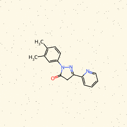 Cc1ccc(N2N=C(c3ccccn3)CC2=O)cc1C